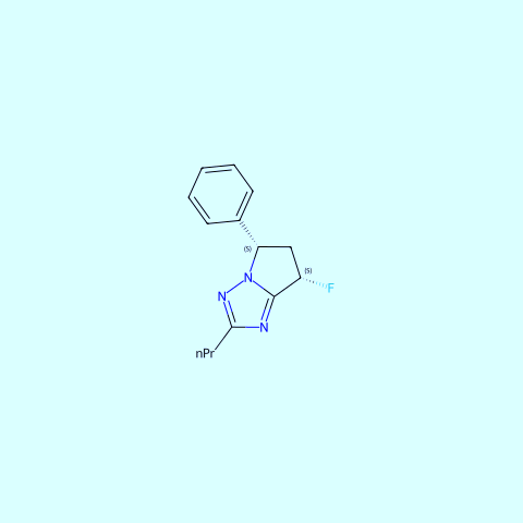 CCCc1nc2n(n1)[C@H](c1ccccc1)C[C@@H]2F